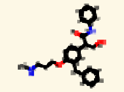 CC(C)NCCCOc1ccc(C(CO)C(=O)Nc2ccccc2)cc1Cc1ccccc1